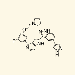 Fc1cc(OCCN2CCCC2)cc(-c2nccc3[nH]c(-c4n[nH]c5ccc(-c6cn[nH]c6)cc45)cc23)c1